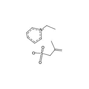 C=C(C)CS(=O)(=O)[O-].CC[n+]1ccccc1